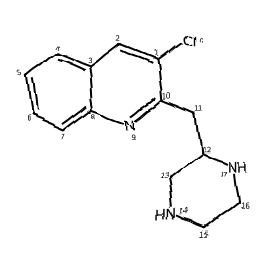 Clc1cc2ccccc2nc1CC1CNCCN1